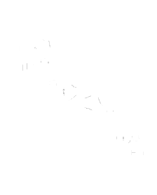 C=C(C)C(O)OCCOc1ccc(-c2ccc(OCCOC(=O)C(C)(C)C)cc2)cc1